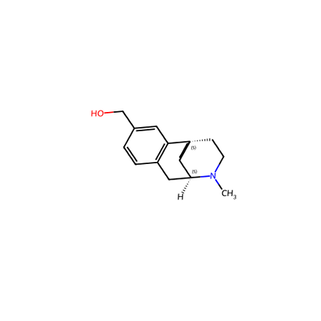 CN1CC[C@@]23CCCCC2[C@@H]1Cc1ccc(CO)cc13